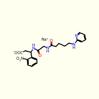 O=C([O-])CC(NC(=O)CNC(=O)CCCCNc1ccccn1)c1ccccc1[N+](=O)[O-].[Na+]